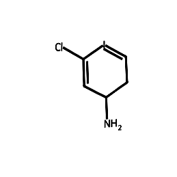 NC1C=C(Cl)I=CC1